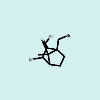 CC1(CBr)C2CCC1(CBr)C(=O)C2Br